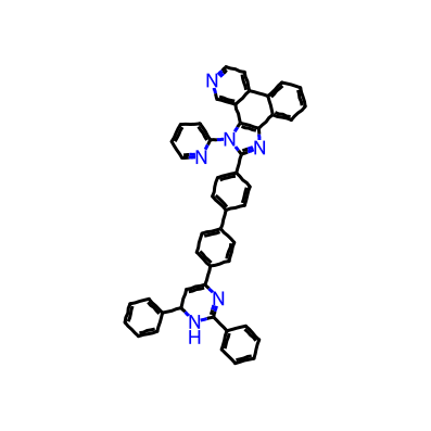 C1=C(c2ccc(-c3ccc(-c4nc5c6ccccc6c6ccncc6c5n4-c4ccccn4)cc3)cc2)N=C(c2ccccc2)NC1c1ccccc1